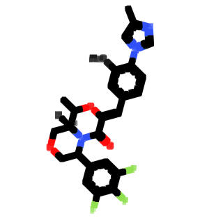 COc1cc(C=C2OC(C)[C@H]3COCC(c4cc(F)c(F)c(F)c4)N3C2=O)ccc1-n1cnc(C)c1